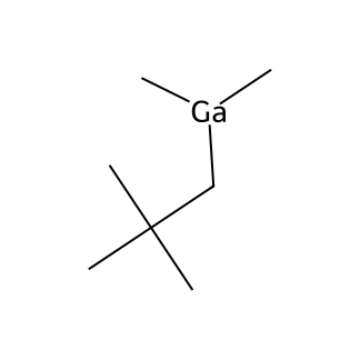 [CH3][Ga]([CH3])[CH2]C(C)(C)C